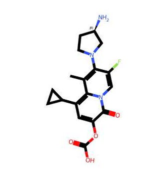 Cc1c(N2CC[C@@H](N)C2)c(F)cn2c(=O)c(OC(=O)O)cc(C3CC3)c12